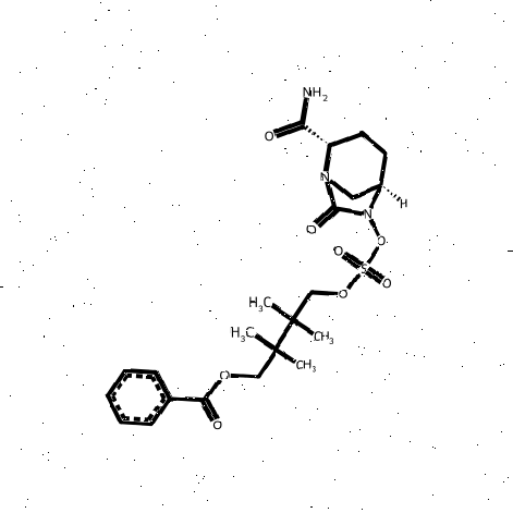 CC(C)(COC(=O)c1ccccc1)C(C)(C)COS(=O)(=O)ON1C(=O)N2C[C@H]1CC[C@H]2C(N)=O